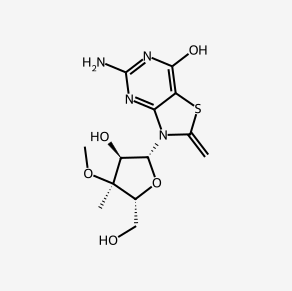 C=C1Sc2c(O)nc(N)nc2N1[C@@H]1O[C@H](CO)[C@@](C)(OC)[C@H]1O